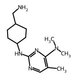 Cc1cnc(NC2CCC(CN)CC2)nc1N(C)C